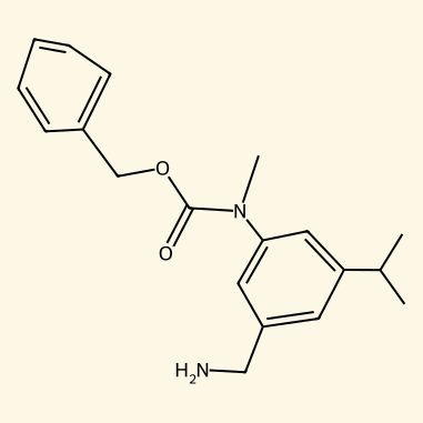 CC(C)c1cc(CN)cc(N(C)C(=O)OCc2ccccc2)c1